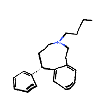 CCCCN1CC[C@@H](c2ccccc2)c2ccccc2C1